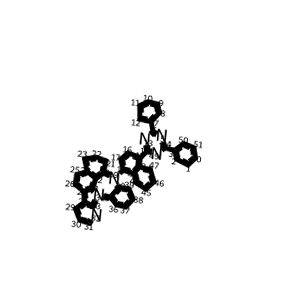 c1ccc(-c2nc(-c3ccccc3)nc(-c3ccc(-n4c5cccc6ccc7c8cccnc8n(c8ccccc84)c7c65)c4ccccc34)n2)cc1